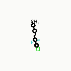 Cc1ccc(C2CCC(CCc3cc(F)c(-c4ccc(Cl)cc4)c(F)c3)CC2)cc1